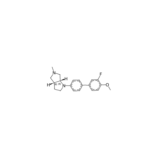 COc1ccc(-c2ccc(N3CC[C@@H]4CN(C)C[C@@H]43)cc2)cc1F